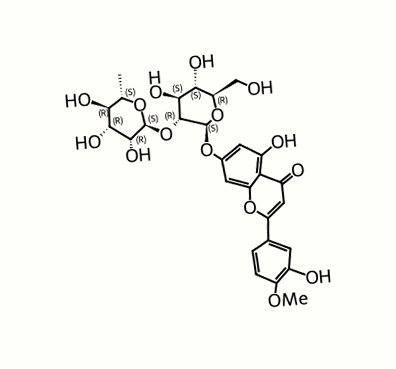 COc1ccc(-c2cc(=O)c3c(O)cc(O[C@@H]4O[C@H](CO)[C@@H](O)[C@H](O)[C@H]4O[C@@H]4O[C@@H](C)[C@H](O)[C@@H](O)[C@H]4O)cc3o2)cc1O